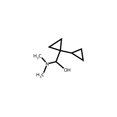 CN(C)C(O)C1([C]2CC2)CC1